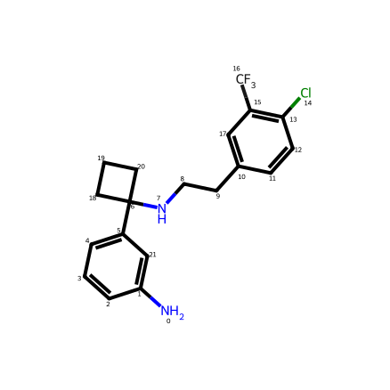 Nc1cccc(C2(NCCc3ccc(Cl)c(C(F)(F)F)c3)CCC2)c1